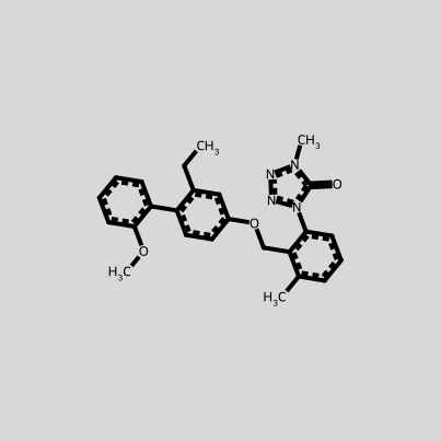 CCc1cc(OCc2c(C)cccc2-n2nnn(C)c2=O)ccc1-c1ccccc1OC